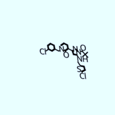 CC(C)(C)C(=O)n1nc(-c2cccn(Cc3cccc(Cl)c3)c2=O)cc1NCc1ccc(Cl)s1